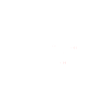 C1=CCCC1.OB(O)O